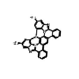 CC(C)(C)c1cc2c3c(c1)nc1c4ccccc4c4cc5c6ccccc6c6nc7cc(C(C)(C)C)cc8c7n6c5c(c4n13)B28